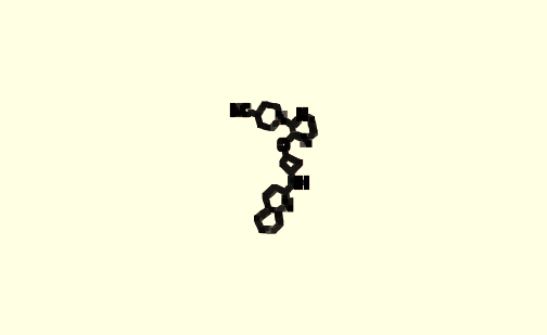 N#CC1CCN(c2nccnc2OC2CC(Nc3ccc4ccccc4n3)C2)CC1